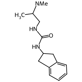 CNC(C)CNC(=O)NC1Cc2ccccc2C1